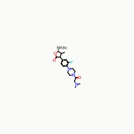 CC(=O)N[C@@H]1OC(=O)C(c2ccc(N3CCN(C(=O)CN(C)C)CC3)c(F)c2)C1C